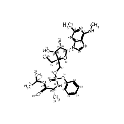 CNc1nc(C)nc2c1ncn2[C@@H]1O[C@](CCl)(COP(=S)(N[C@H](C)C(=O)OC(C)C)Oc2ccccc2)[C@@H](O)[C@@H]1F